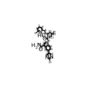 Cc1cccc(CC(O)[C@H]2C[C@@H](F)CN2C(=O)Cn2cc(C(N)=O)c3cc(-c4cnc(C)nc4)ccc32)n1